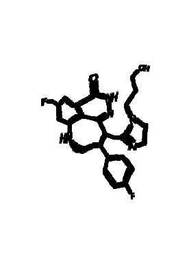 O=c1[nH]nc2c3c(cc(F)cc13)NCC(c1ccc(F)cc1)C2c1ncnn1CCCO